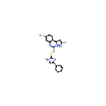 Cc1cc2c3ccc(Cl)cc3nc(CSc3nc(-c4ccccc4)cn3C)n2n1